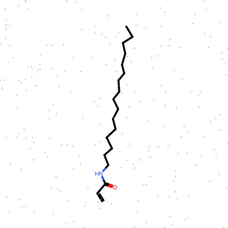 C=CC(=O)NCCCCCCCCCCCCCCCC